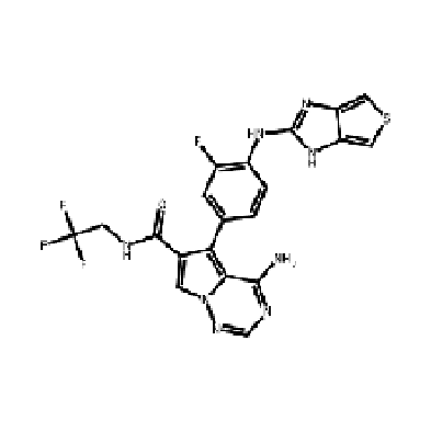 Nc1ncnn2cc(C(=O)NCC(F)(F)F)c(-c3ccc(Nc4nc5cscc5[nH]4)c(F)c3)c12